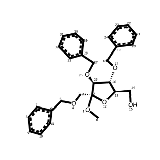 CO[C@]1(COCc2ccccc2)O[C@H](CO)[C@@H](OCc2ccccc2)[C@@H]1OCc1ccccc1